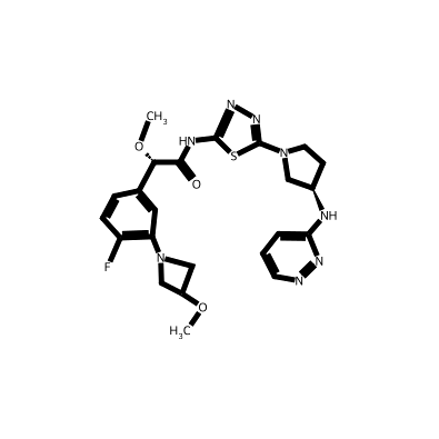 COC1CN(c2cc([C@H](OC)C(=O)Nc3nnc(N4CC[C@@H](Nc5cccnn5)C4)s3)ccc2F)C1